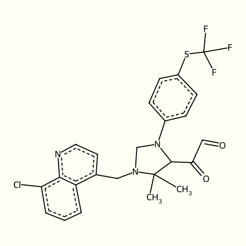 CC1(C)C(C(=O)C=O)N(c2ccc(SC(F)(F)F)cc2)CN1Cc1ccnc2c(Cl)cccc12